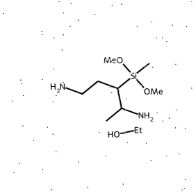 CCO.CO[Si](C)(OC)C(CCN)C(C)N